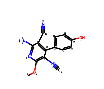 [C-]#[N+]c1c(OC)nc(N)c(C#N)c1-c1ccc(O)cc1